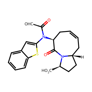 O=CC(=O)N(c1cc2ccccc2s1)[C@H]1CC=CC[C@@H]2CC[C@@H](C(=O)O)N2C1=O